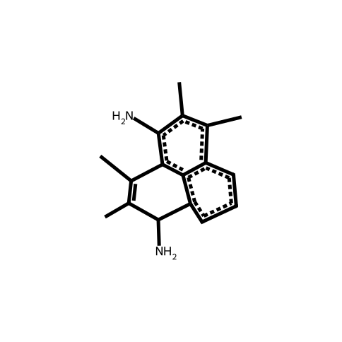 CC1=C(C)C(N)c2cccc3c(C)c(C)c(N)c1c23